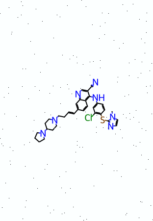 Cn1ccnc1Sc1ccc(Nc2c(C#N)cnc3cc(C=CCCN4CCC(N5CCCC5)CC4)ccc23)cc1Cl